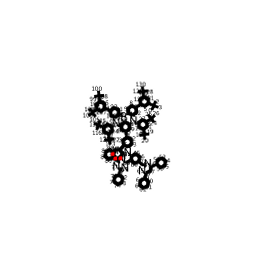 CC(C)(C)c1cc(-c2ccc3c(c2)N(c2cc(C(C)(C)C)cc(C(C)(C)C)c2)c2cc(-c4ccc5c(c4)c4ccccc4n5-c4ccc(-c5nc(-c6ccccc6)cc(-c6ccccc6)n5)cc4-c4nc(-c5ccccc5)nc(-c5ccccc5)n4)cc4c2B3c2ccc(-c3cc(C(C)(C)C)cc(C(C)(C)C)c3)cc2N4c2cc(C(C)(C)C)cc(C(C)(C)C)c2)cc(C(C)(C)C)c1